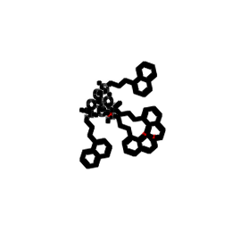 C[Si](C)(CCCc1cccc2ccccc12)O[Si](O[Si](C)(C)CCCc1cccc2ccccc12)(O[Si](C)(C)CCCc1cccc2ccccc12)O[Si](C)(C)CCCc1cccc2ccccc12